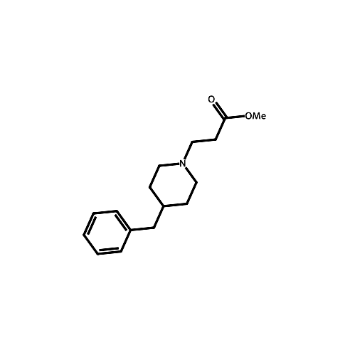 COC(=O)CCN1CCC(Cc2ccccc2)CC1